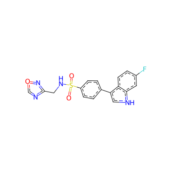 O=S(=O)(NCc1ncon1)c1ccc(-c2c[nH]c3cc(F)ccc23)cc1